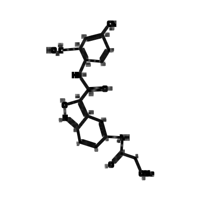 COCC(=O)Nc1ccc2noc(C(=O)Nc3ccc(C#N)cc3C(=O)O)c2c1